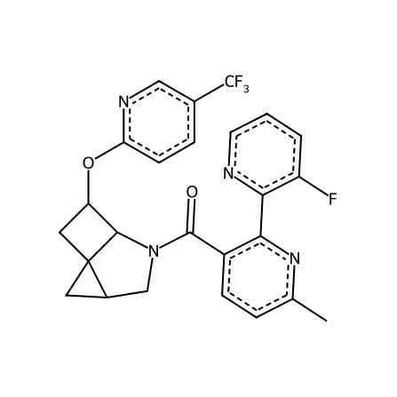 Cc1ccc(C(=O)N2CC3CC34CC(Oc3ccc(C(F)(F)F)cn3)C24)c(-c2ncccc2F)n1